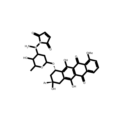 COc1cccc2c1C(=O)c1c(O)c3c(c(O)c1C2=O)C[C@@](O)(C(C)=O)C[C@@H]3OC1CC(N(N)N2C(=O)C=CC2=O)C(O)C(C)O1